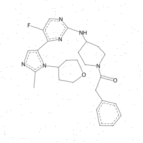 Cc1ncc(-c2nc(NC3CCN(C(=O)Cc4ccccc4)CC3)ncc2F)n1C1CCOCC1